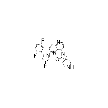 O=C1N(c2ccnc3ccc(N4C[C@@H](F)C[C@@H]4c4cc(F)ccc4F)nc23)CC12CCNCC2